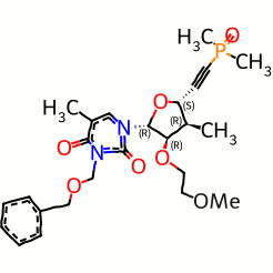 COCCO[C@@H]1[C@H](C)[C@@H](C#CP(C)(C)=O)O[C@H]1n1cc(C)c(=O)n(COCc2ccccc2)c1=O